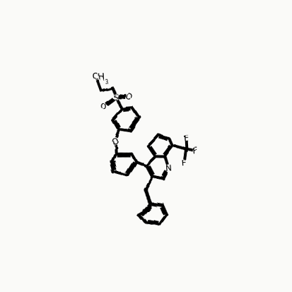 CCCS(=O)(=O)c1cccc(Oc2cccc(-c3c(Cc4ccccc4)cnc4c(C(F)(F)F)cccc34)c2)c1